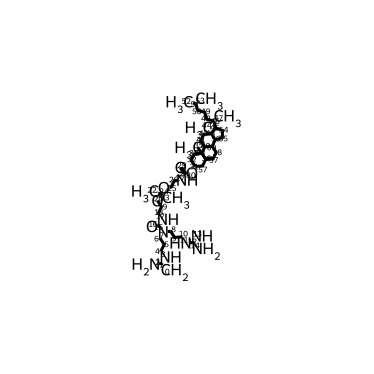 C=C(N)NCCCN(CCCNC(=N)N)C(=O)NCCOC(C)(C)OCCNC(=O)OC1CCC2(C)C(=CCC3C2CCC2(C)C(C(C)CCCC(C)C)CCC32)C1